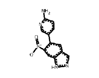 Nc1ccc(-c2cc3cn[nH]c3cc2[N+](=O)[O-])cn1